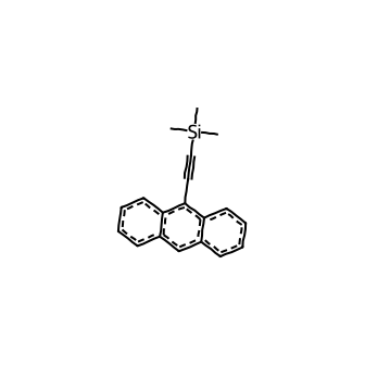 C[Si](C)(C)C#Cc1c2ccccc2cc2ccccc12